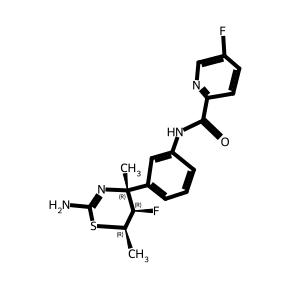 C[C@H]1SC(N)=N[C@](C)(c2cccc(NC(=O)c3ccc(F)cn3)c2)[C@H]1F